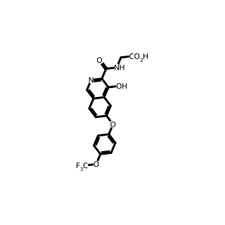 O=C(O)CNC(=O)c1ncc2ccc(Oc3ccc(OC(F)(F)F)cc3)cc2c1O